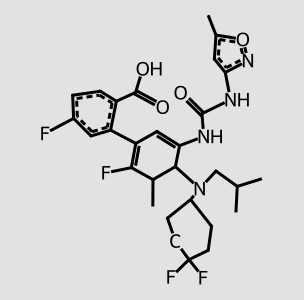 Cc1cc(NC(=O)NC2=CC(c3cc(F)ccc3C(=O)O)=C(F)C(C)C2N(CC(C)C)C2CCC(F)(F)CC2)no1